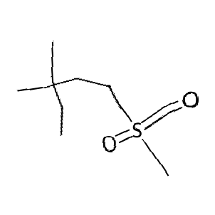 CC(C)(C)CS(C)(=O)=O